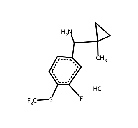 CC1(C(N)c2ccc(SC(F)(F)F)c(F)c2)CC1.Cl